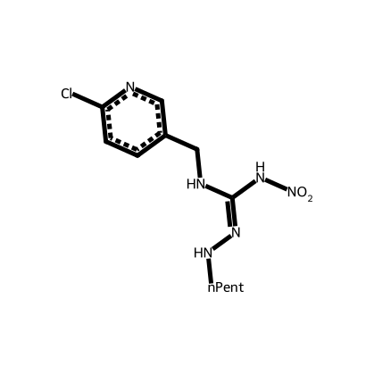 CCCCCN/N=C(\NCc1ccc(Cl)nc1)N[N+](=O)[O-]